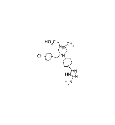 C[C@H]1CN(C2CCN(c3nnc(N)[nH]3)CC2)C(Cc2ccc(Cl)cc2)CN1CC(=O)O